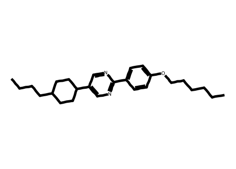 CCCCCCOc1ccc(-c2ncc(C3CCC(CCCC)CC3)cn2)cc1